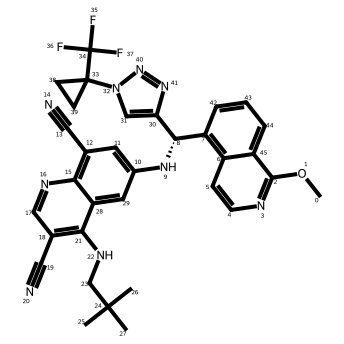 COc1nccc2c([C@H](Nc3cc(C#N)c4ncc(C#N)c(NCC(C)(C)C)c4c3)c3cn(C4(C(F)(F)F)CC4)nn3)cccc12